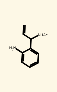 C=CC(NC(C)=O)c1ccccc1N